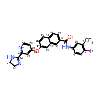 O=C(Nc1ccc(I)c(C(F)(F)F)c1)c1ccc2ccc(Oc3ccnc(C4=NCCN4)c3)cc2c1